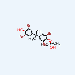 CC(C)(O)Oc1c(Br)cc(C(C)(C)c2cc(Br)c(O)c(Br)c2)cc1Br